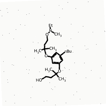 CCCCc1cc(OC(C)(C)CCO)cc(OC(C)(C)CCON(C)CC)c1